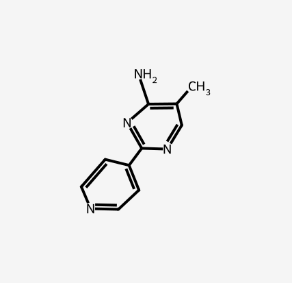 Cc1cnc(-c2ccncc2)nc1N